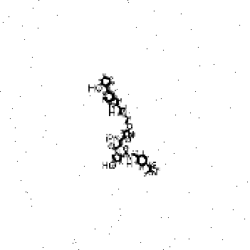 Cc1ncsc1-c1ccc(CNC(=O)[C@@H]2C[C@@H](O)CN2C(=O)C[C@@H](c2cc(OCCN3CC(c4cc5cc(-c6ccccc6O)nnc5[nH]4)C3)no2)C(C)C)cc1